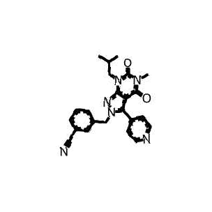 CC(C)Cn1c(=O)n(C)c(=O)c2c(-c3ccncc3)n(Cc3cccc(C#N)c3)nc21